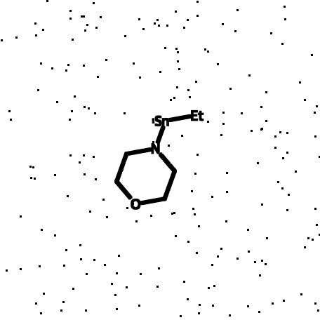 C[CH2][Sn][N]1CCOCC1